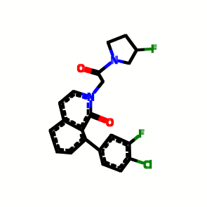 O=C(Cn1ccc2cccc(-c3ccc(Cl)c(F)c3)c2c1=O)N1CCC(F)C1